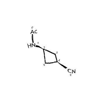 CC(=O)N[C@H]1C[C@@H](C#N)C1